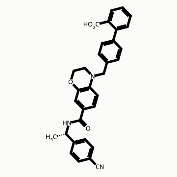 C[C@H](NC(=O)c1ccc2c(c1)OCCN2Cc1ccc(-c2ccccc2C(=O)O)cc1)c1ccc(C#N)cc1